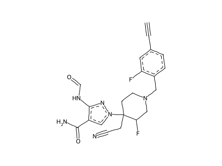 C#Cc1ccc(CN2CCC(CC#N)(n3cc(C(N)=O)c(NC=O)n3)C(F)C2)c(F)c1